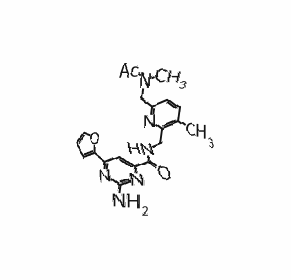 CC(=O)N(C)Cc1ccc(C)c(CNC(=O)c2cc(-c3ccco3)nc(N)n2)n1